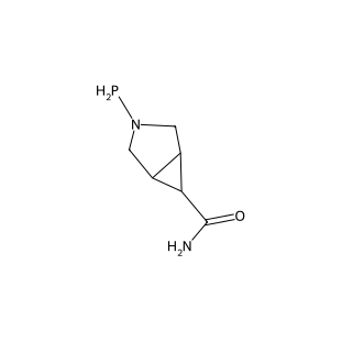 NC(=O)C1C2CN(P)CC21